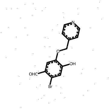 O=Cc1cc(OCc2ccncc2)c(O)cc1Br